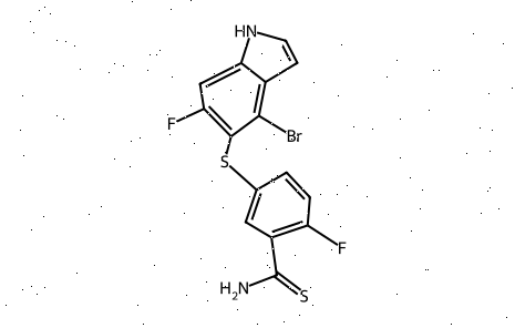 NC(=S)c1cc(Sc2c(F)cc3[nH]ccc3c2Br)ccc1F